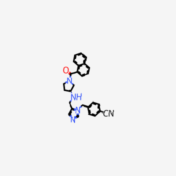 N#Cc1ccc(Cn2cncc2CN[C@@H]2CCN(C(=O)c3cccc4ccccc34)C2)cc1